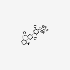 COC(=O)c1cc2c(cc1-c1ccccc1F)OCc1cc(OS(=O)(=O)C(F)(F)F)c(OC)cc1-2